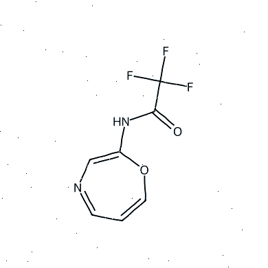 O=C(NC1=CN=CC=CO1)C(F)(F)F